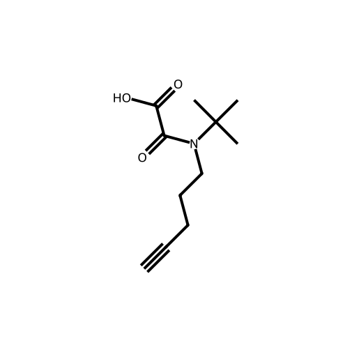 C#CCCCN(C(=O)C(=O)O)C(C)(C)C